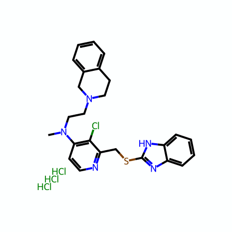 CN(CCN1CCc2ccccc2C1)c1ccnc(CSc2nc3ccccc3[nH]2)c1Cl.Cl.Cl.Cl